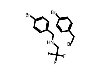 BrCc1ccc(Br)cc1.FC(F)(F)CNCc1ccc(Br)cc1